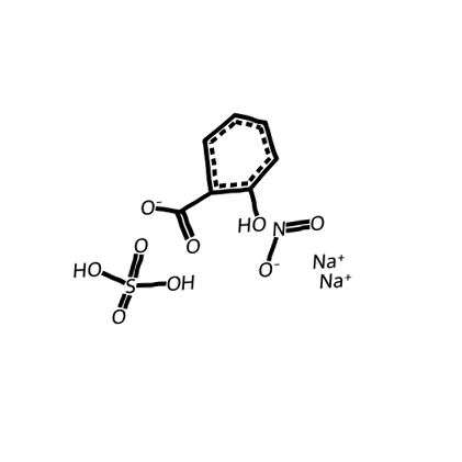 O=C([O-])c1ccccc1O.O=N[O-].O=S(=O)(O)O.[Na+].[Na+]